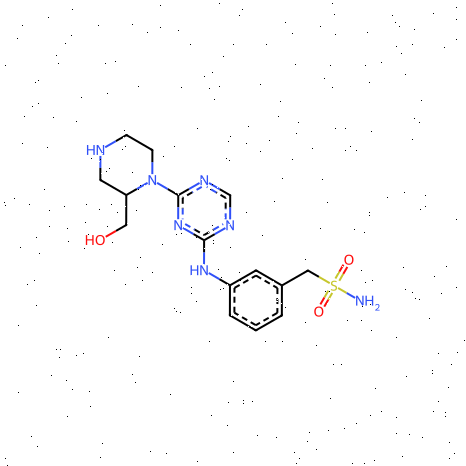 NS(=O)(=O)Cc1cccc(Nc2ncnc(N3CCNCC3CO)n2)c1